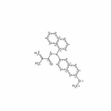 C=C(C)C(=O)OC(c1ccc2cc(OC)ccc2c1)c1cccc2ccccc12